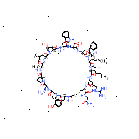 CCCC[C@H]1C(=O)N(C)[C@@H](CCCC)C(=O)N[C@@H](CCCNC(=N)N)C(=O)N[C@H](C(=O)NCC(N)=O)CSCC(=O)N[C@@H](Cc2ccc(O)cc2)C(=O)N(C)[C@@H](C)C(=O)N[C@@H](CN)C(=O)N2CCC[C@H]2C(=O)N[C@@H](C)C(=O)N[C@@H](CC(C)C)C(=O)N2C[C@H](O)C[C@H]2C(=O)N[C@@H](Cc2c[nH]c3ccccc23)C(=O)N[C@@H](CO)C(=O)N[C@@H](Cc2c[nH]c3ccccc23)C(=O)N1C